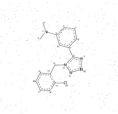 CN(C)c1cccc(-c2nnnn2Cc2ccccc2Cl)c1